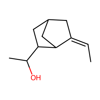 CC=C1CC2CC1C(C(C)O)C2